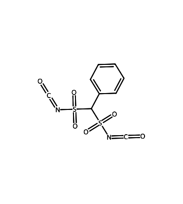 O=C=NS(=O)(=O)C(c1ccccc1)S(=O)(=O)N=C=O